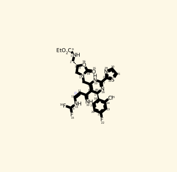 CCOC(=O)NC[C@H]1CN(CC2=C(C(=N)/C=C\NC(F)F)[C@H](c3ccc(F)cc3Cl)N=C(c3nccs3)N2)C(=O)O1